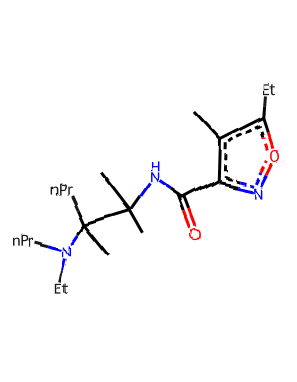 CCCN(CC)C(C)(CCC)C(C)(C)NC(=O)c1noc(CC)c1C